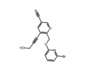 N#Cc1cnc(COc2cccc(Br)n2)c(C#CCO)c1